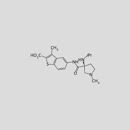 Cc1c(C(=O)O)sc2ccc(NC(=O)[C@]3(NC(C)C)CCN(C)C3)cc12